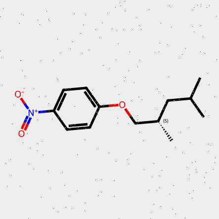 CC(C)C[C@H](C)COc1ccc([N+](=O)[O-])cc1